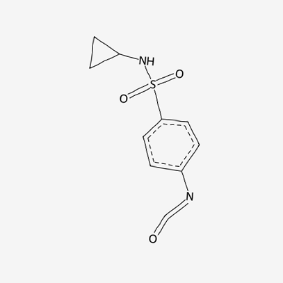 O=C=Nc1ccc(S(=O)(=O)NC2CC2)cc1